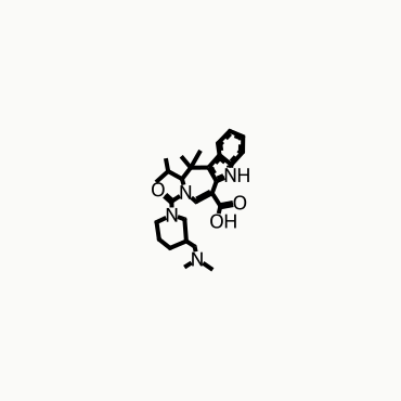 CC(C)C1N(C(=O)N2CCCC(CN(C)C)C2)C=C(C(=O)O)c2[nH]c3ccccc3c2C1(C)C